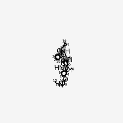 CCOc1cc(OC2CCN(CC)C2)ccc1Nc1ncc(Cl)c(Nc2ccccc2S(=O)(=O)NCC2CC2)n1